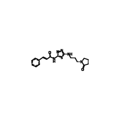 O=C(/C=C/c1ccccc1)Nc1nnc(NCCCN2CCCC2=O)s1